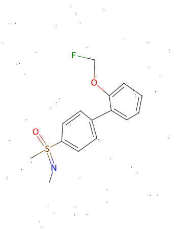 CN=S(C)(=O)c1ccc(-c2ccccc2OCF)cc1